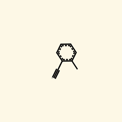 [C]#Cc1ccccc1C